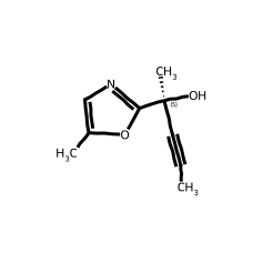 CC#C[C@](C)(O)c1ncc(C)o1